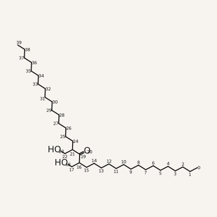 CCCCCCCCCCCCCCCCC(CO)C(=O)C(CO)CCCCCCCCCCCCCCCC